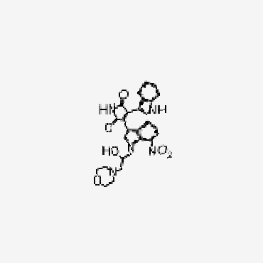 O=C1NC(=O)C(c2cn(CC(O)CN3CCOCC3)c3c([N+](=O)[O-])cccc23)=C1c1c[nH]c2ccccc12